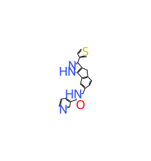 O=C(NCc1ccc2c(c1)-c1[nH]nc(-c3ccsc3)c1C2)c1cccnc1